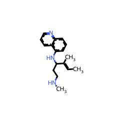 C/C=C(\C)C(CCNC)Nc1cccc2ncccc12